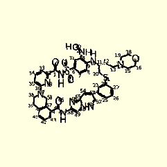 O=C(NS(=O)(=O)c1ccc(N[C@H](CCN2CCOCC2)CSc2ccccc2)c(NO)c1)c1cccc(N2CCc3cccc(C(=O)Nc4cn5ncccc5n4)c3C2)n1